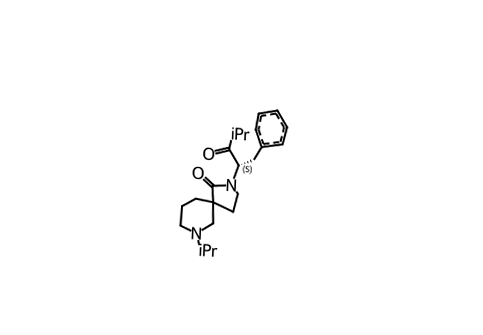 CC(C)C(=O)[C@H](Cc1ccccc1)N1CCC2(CCCN(C(C)C)C2)C1=O